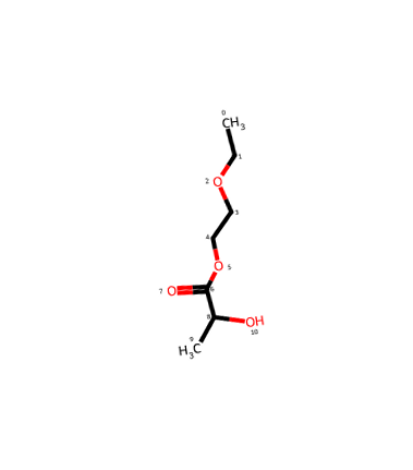 CCOCCOC(=O)C(C)O